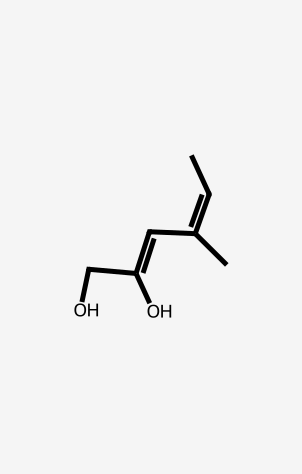 CC=C(C)C=C(O)CO